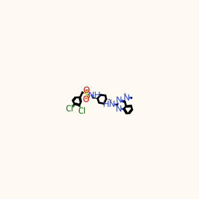 CN(C)c1nc(NC[C@H]2CC[C@H](CNS(=O)(=O)Cc3ccc(Cl)c(Cl)c3)CC2)nc2ccccc12